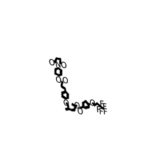 C=C(/C=C\C(=C)OC(=O)c1ccc(OCCC(F)(F)C(F)(F)F)cc1)COc1ccc(/C=C/C(=O)OC2C=CC(N3C(=O)CCC3=O)CC2)cc1